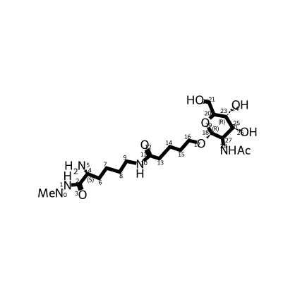 CNNC(=O)[C@@H](N)CCCCNC(=O)CCCCO[C@@H]1OC(CO)[C@H](O)[C@H](O)C1NC(C)=O